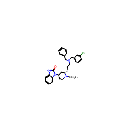 O=C(O)N1CCC(n2c(=O)[nH]c3ccccc32)C[C@@H]1CCCN(Cc1ccccc1)Cc1cccc(Cl)c1